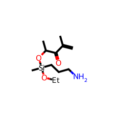 C=C(C)C(=O)C(C)O[Si](C)(CCCN)OCC